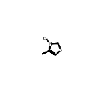 CC1=CSCN1Cl